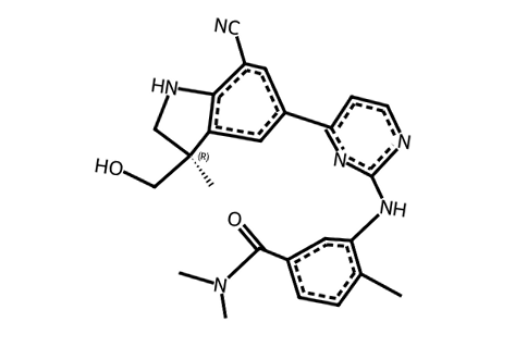 Cc1ccc(C(=O)N(C)C)cc1Nc1nccc(-c2cc(C#N)c3c(c2)[C@@](C)(CO)CN3)n1